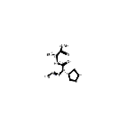 COC(=O)[C@@H](NC(=O)[C@@H](/N=N/Cl)C1CCCC1)C(C)(C)C